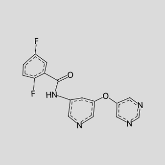 O=C(Nc1cncc(Oc2cncnc2)c1)c1cc(F)ccc1F